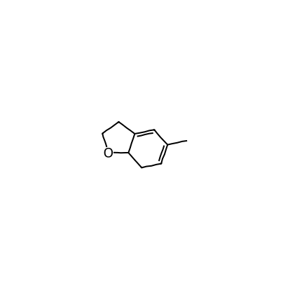 CC1=CCC2OCCC2=C1